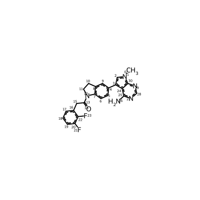 Cn1cc(-c2ccc3c(c2)CCN3C(=O)Cc2cccc(F)c2F)c2c(N)ncnc21